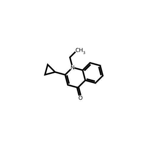 CCn1c(C2CC2)cc(=O)c2ccccc21